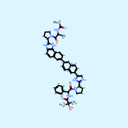 COC(=O)NC(C(=O)N1CCCC1c1nc2ccc3cc(-c4ccc5cc(-c6cnc(C7CCCN7C(=O)C(NC(=O)C(C)(C)O)c7ccccc7)[nH]6)ccc5c4)ccc3c2[nH]1)C(C)C